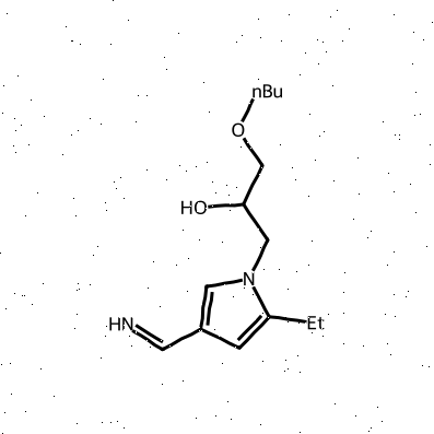 CCCCOCC(O)Cn1cc(C=N)cc1CC